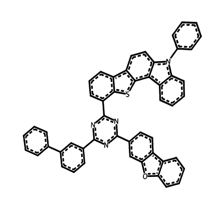 c1ccc(-c2cccc(-c3nc(-c4ccc5c(c4)oc4ccccc45)nc(-c4cccc5c4sc4c5ccc5c4c4ccccc4n5-c4ccccc4)n3)c2)cc1